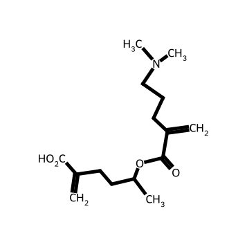 C=C(CCC(C)OC(=O)C(=C)CCCN(C)C)C(=O)O